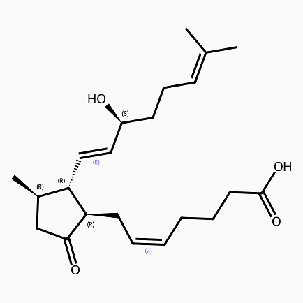 CC(C)=CCC[C@H](O)/C=C/[C@H]1[C@H](C)CC(=O)[C@@H]1C/C=C\CCCC(=O)O